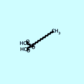 CCCCCCCCCCCCCCCCCC(=O)N(CCC(=O)O)CCC(=O)O